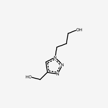 OCCCn1cc(CO)nn1